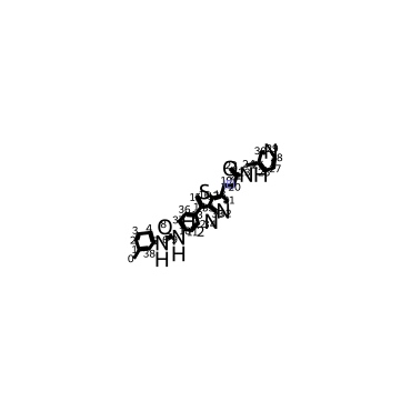 Cc1cccc(NC(=O)Nc2ccc(-c3csc4c(/C=C/C(=O)NCc5cccnc5)cnc(N)c34)cc2)c1